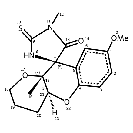 COc1ccc2c(c1)[C@]1(NC(=S)N(C)C1=O)[C@@]1(C)OCCC[C@@H]1O2